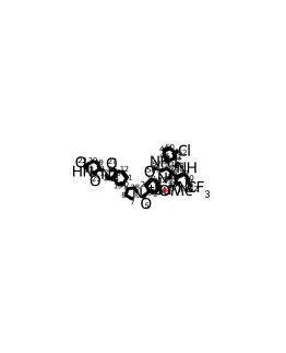 COc1cc(C(=O)N2CC[C@H](c3ccc4c(c3)CN(C3CCC(=O)NC3=O)C4=O)C2)ccc1N1[C@@H](CC(C)(C)C)[C@@]2(CNc3cc(C(F)(F)F)ncc32)[C@@H](c2cccc(Cl)c2F)[C@@H]1C(N)=O